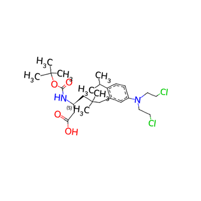 CC(C)c1ccc(N(CCCl)CCCl)cc1CC(C)(C)C[C@@H](CC(=O)O)NC(=O)OC(C)(C)C